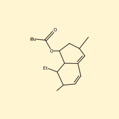 CCC(C)C(=O)OC1CC(C)C=C2C=CC(C)C(CC)C21